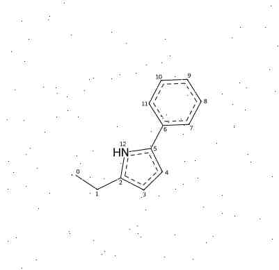 [CH2]Cc1ccc(-c2ccccc2)[nH]1